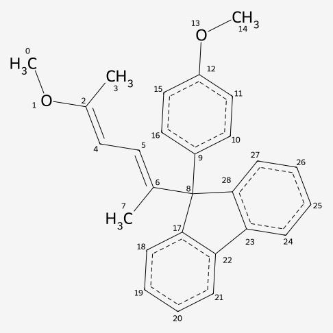 CO/C(C)=C/C=C(\C)C1(c2ccc(OC)cc2)c2ccccc2-c2ccccc21